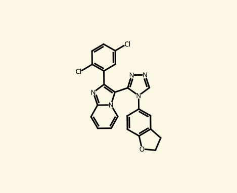 Clc1ccc(Cl)c(-c2nc3ccccn3c2-c2nncn2-c2ccc3c(c2)CCO3)c1